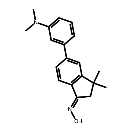 CN(C)c1cccc(-c2ccc3c(c2)C(C)(C)CC3=NO)c1